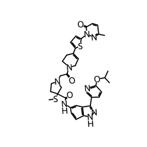 CSC1(C(=O)Nc2ccc3[nH]nc(-c4ccc(OC(C)C)nc4)c3c2)CCN(CC(=O)N2CC=C(c3ccc(-n4nc(C)ccc4=O)s3)CC2)C1